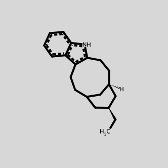 CC[C@H]1CC2CCc3c([nH]c4ccccc34)CC[C@H](C2)C1